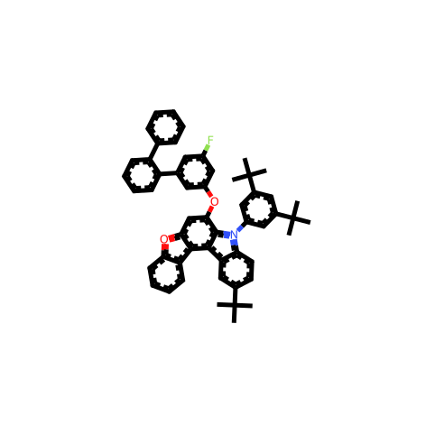 CC(C)(C)c1cc(-n2c3ccc(C(C)(C)C)cc3c3c4c(cc(Oc5cc(F)cc(-c6ccccc6-c6ccccc6)c5)c32)oc2ccccc24)cc(C(C)(C)C)c1